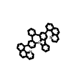 c1ccc2c(c1)-c1cc(-c3cccc4ccc5cccnc5c34)ccc1-n1c3ccccc3c3cc(-c4cccc5ccc6cccnc6c45)cc-2c31